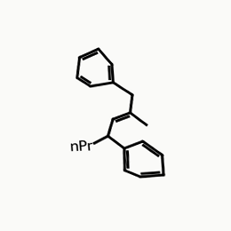 CCCC(C=C(C)Cc1ccccc1)c1ccccc1